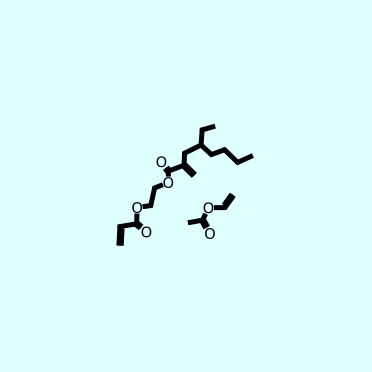 C=CC(=O)OCCOC(=O)C(=C)CC(CC)CCCC.C=COC(C)=O